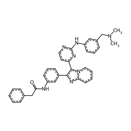 CN(C)Cc1cccc(Nc2nccc(-c3c(-c4cccc(NC(=O)Cc5ccccc5)c4)nc4ccccn34)n2)c1